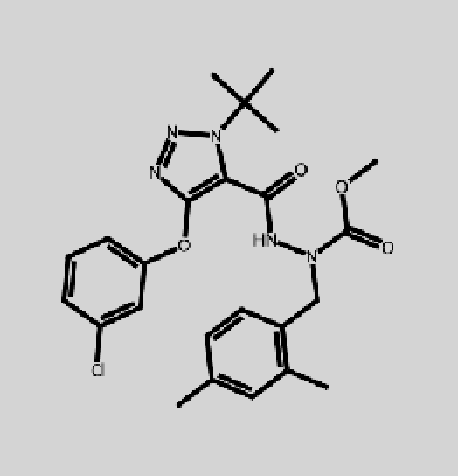 COC(=O)N(Cc1ccc(C)cc1C)NC(=O)c1c(Oc2cccc(Cl)c2)nnn1C(C)(C)C